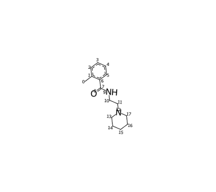 Cc1ccccc1C(=O)NCCN1CCCCC1